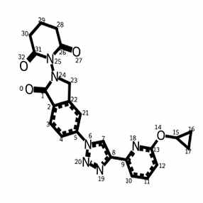 O=C1c2ccc(-n3cc(-c4cccc(OC5CC5)n4)nn3)cc2CN1N1C(=O)CCCC1=O